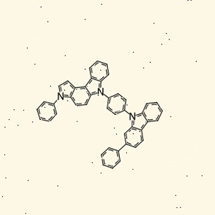 c1ccc(-c2ccc3c4ccccc4n(-c4ccc(-n5c6ccccc6c6c7ccn(-c8ccccc8)c7ccc65)cc4)c3c2)cc1